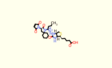 CCCC(N)N(C=O)C1(CCN2C(=O)C=CC2=O)CCCCC1.O=C(O)CCCC[C@@H]1SC[C@@H]2NC(=O)N[C@@H]21